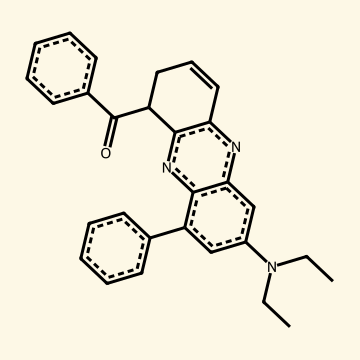 CCN(CC)c1cc(-c2ccccc2)c2nc3c(nc2c1)C=CCC3C(=O)c1ccccc1